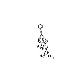 Cc1nc(N2CCN3C(=O)N(c4c(F)cc(C#Cc5ccccc5)cc4F)C(=O)CC3(C)C2=O)cn1C